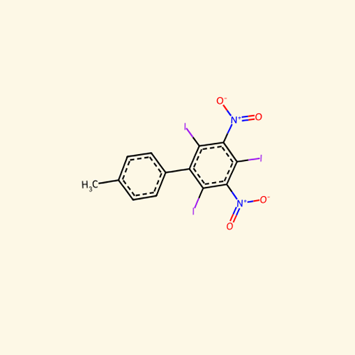 Cc1ccc(-c2c(I)c([N+](=O)[O-])c(I)c([N+](=O)[O-])c2I)cc1